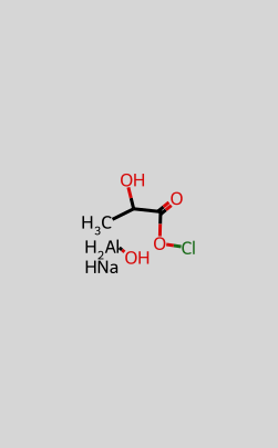 CC(O)C(=O)OCl.[NaH].[OH][AlH2]